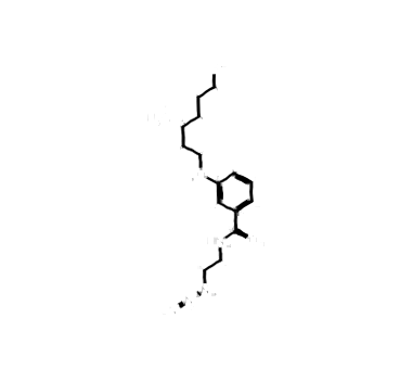 CC(C)CCC[C@@H](C)CCOc1cccc(C(=O)NCCN=[N+]=[N-])c1